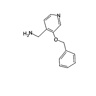 NCc1ccncc1OCc1ccccc1